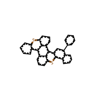 c1ccc(-c2cc3c(sc4cccc5c4c3c3cccc4sc6ccccc6c5c43)c3ccccc23)cc1